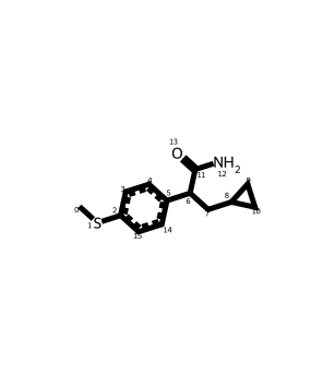 CSc1ccc(C(CC2CC2)C(N)=O)cc1